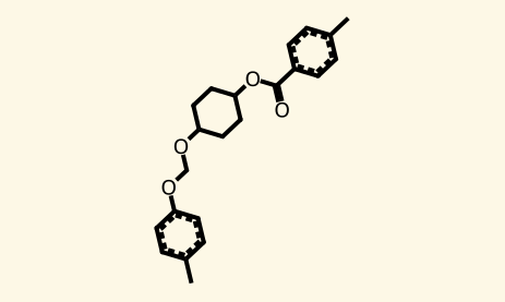 Cc1ccc(OCOC2CCC(OC(=O)c3ccc(C)cc3)CC2)cc1